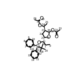 CCC(O[Si](c1ccccc1)(c1ccccc1)C(C)(C)C)[C@@H]1C[C@@H](C(C)OC(C)=O)C(OC(C)=O)O1